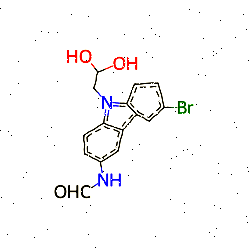 O=CNc1ccc2c(c1)c1cc(Br)ccc1n2CC(O)O